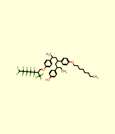 CCCCCCCCOc1ccc(C(CC(C)c2ccc(OCC(C(F)(F)F)C(F)(F)C(F)(F)C(F)(F)C(F)(F)C(F)F)cc2)CC(CC)c2ccc(O)cc2)cc1